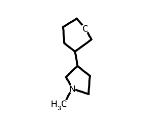 CN1CCC(C2CCCCC2)C1